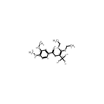 CCSC(SCC)=C(CC(=O)c1ccc(OC)c(OC)c1)C(F)(F)F